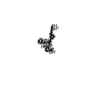 CCNCCOc1cccc(-c2cc(C(=O)NC3CCCN(C(=O)O)C3)c(NC(=O)Nc3cnccn3)s2)c1